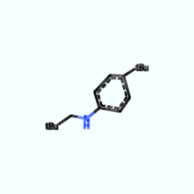 CC(C)(C)CNc1ccc(C(C)(C)C)cc1